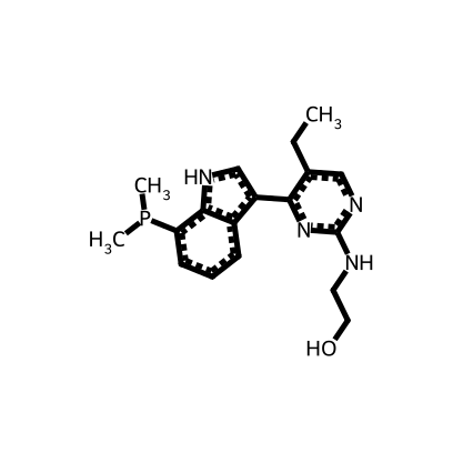 CCc1cnc(NCCO)nc1-c1c[nH]c2c(P(C)C)cccc12